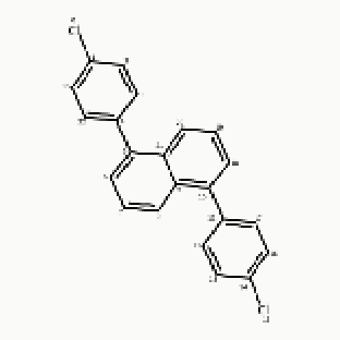 Clc1ccc(-c2cccc3c(-c4ccc(Cl)cc4)cccc23)cc1